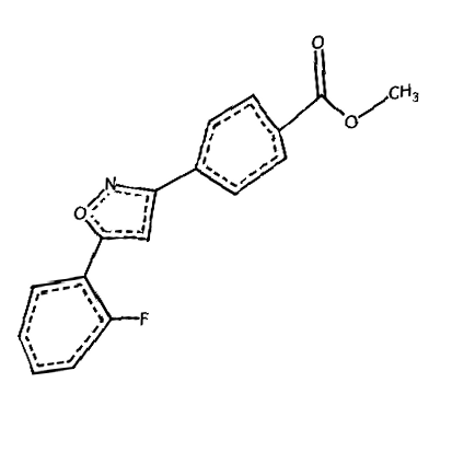 COC(=O)c1ccc(-c2cc(-c3ccccc3F)on2)cc1